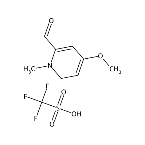 COC1=CCN(C)C(C=O)=C1.O=S(=O)(O)C(F)(F)F